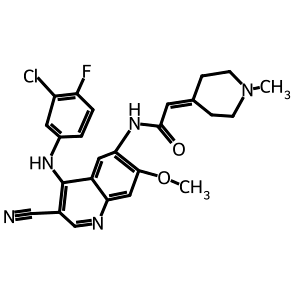 COc1cc2ncc(C#N)c(Nc3ccc(F)c(Cl)c3)c2cc1NC(=O)C=C1CCN(C)CC1